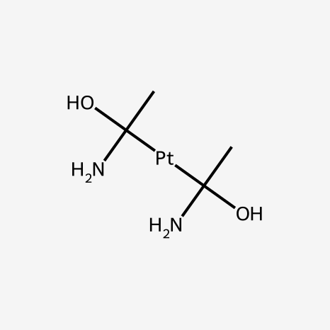 C[C](N)(O)[Pt][C](C)(N)O